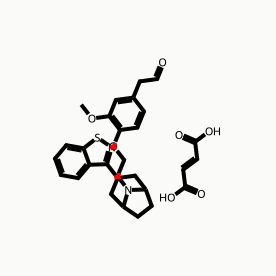 COc1cc(CC=O)ccc1OCCN1C2CCC1CC(c1nsc3ccccc13)C2.O=C(O)/C=C/C(=O)O